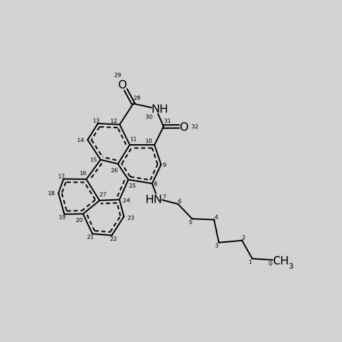 CCCCCCCNc1cc2c3c(ccc4c5cccc6cccc(c1c34)c65)C(=O)NC2=O